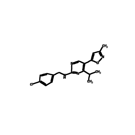 Cc1cc(-c2cnc(NCc3ccc(Cl)cc3)nc2C(C)C)on1